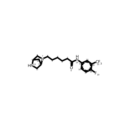 O=C(CCCCCN1CC2CC1CN2)Nc1ccc(F)c(C(F)(F)F)c1